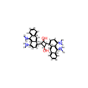 CN(C)c1ccc(C2C(O)C(c3ccc(N(C)C)c4c(N(C)C)c5ccccc5cc34)C2O)c2cc3ccccc3c(N(C)C)c12